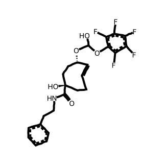 O=C(NCCc1ccccc1)[C@@]1(O)CC/C=C/[C@@H](OC(O)Oc2c(F)c(F)c(F)c(F)c2F)CC1